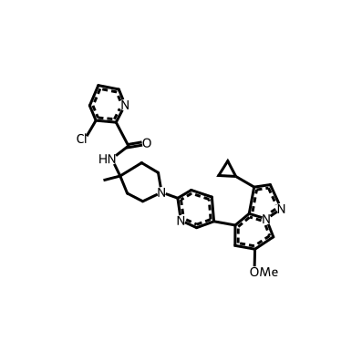 COc1cc(-c2ccc(N3CCC(C)(NC(=O)c4ncccc4Cl)CC3)nc2)c2c(C3CC3)cnn2c1